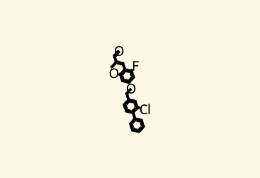 O=CC1=Cc2c(F)cc(OCc3ccc(-c4ccccc4)c(Cl)c3)cc2OC1